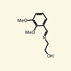 COc1cccc(C=NCCO)c1OC